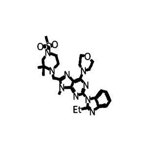 CCc1nc2ccccc2n1-c1nc(N2CCOCC2)c2nc(CN3CCN(S(C)(=O)=O)CC3(C)C)n(C)c2n1